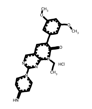 CCn1c(=O)c(-c2cc(OC)cc(OC)c2)cc2cnc(-n3ccc(=N)cc3)nc21.Cl